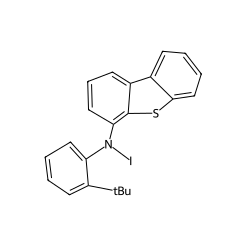 CC(C)(C)c1ccccc1N(I)c1cccc2c1sc1ccccc12